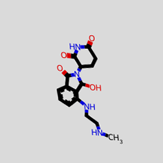 CNCCNc1cccc2c1C(O)N(C1CCC(=O)NC1=O)C2=O